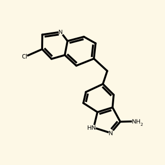 Nc1n[nH]c2ccc(Cc3ccc4ncc(Cl)cc4c3)cc12